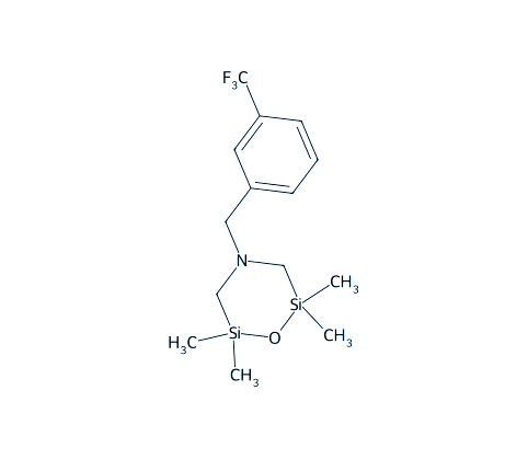 C[Si]1(C)CN(Cc2cccc(C(F)(F)F)c2)C[Si](C)(C)O1